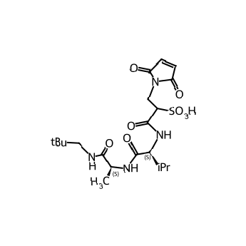 CC(C)[C@H](NC(=O)C(CN1C(=O)C=CC1=O)S(=O)(=O)O)C(=O)N[C@@H](C)C(=O)NCC(C)(C)C